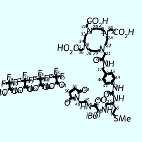 CC[C@H](C)[C@H](NC(=O)[C@H](CCSC)NC(=O)Nc1ccc(CNC(=O)CN2CCN(CC(=O)O)CCN(CC(=O)O)CCN(CC(=O)O)CC2)cc1)C(=O)NCCN1C(=O)C=CC1=O.O=C(O)C(F)(F)F.O=C(O)C(F)(F)F.O=C(O)C(F)(F)F.O=C(O)C(F)(F)F